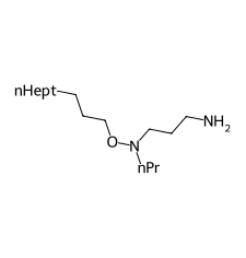 CCCCCCCCCCON(CCC)CCCN